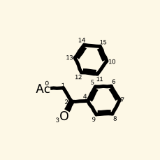 CC(=O)CC(=O)c1ccccc1.c1ccccc1